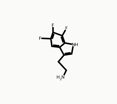 NCCc1c[nH]c2c(F)c(F)c(F)cc12